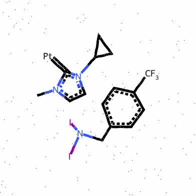 Cn1ccn(C2CC2)[c]1=[Pt].FC(F)(F)c1ccc(CN(I)I)cc1